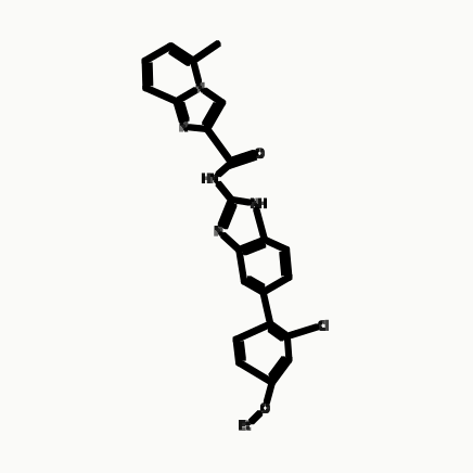 CCOc1ccc(-c2ccc3[nH]c(NC(=O)c4cn5c(C)cccc5n4)nc3c2)c(Cl)c1